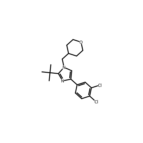 CC(C)(C)c1nc(-c2ccc(Cl)c(Cl)c2)cn1CC1CCOCC1